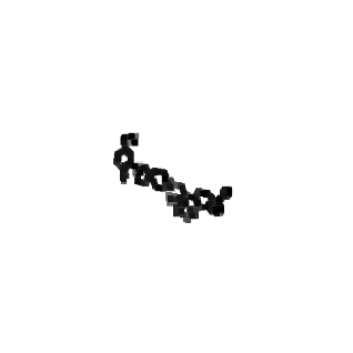 Cc1c(C(O)CN2CCC3(CC2)CCN(c2cc(C#N)ccc2F)C3)ccc2c1COC2=O